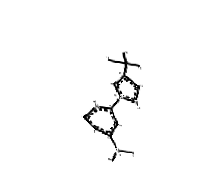 CN(C)c1ccnc(-n2cc(C(C)(C)C)cn2)c1